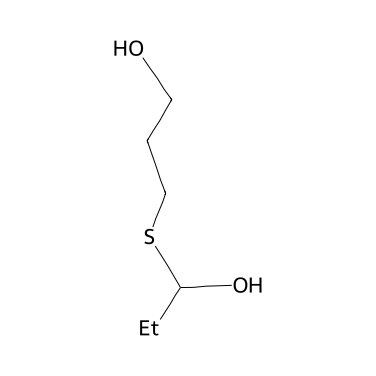 CCC(O)SCCCO